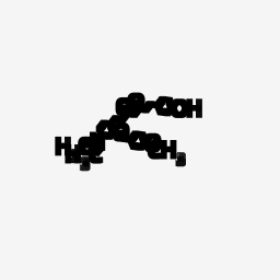 CCN(CC)c1ccc(C=CC(=O)CC(=O)C=Cc2ccc(O)cc2)c(OCc2ccc(OC)cc2)c1